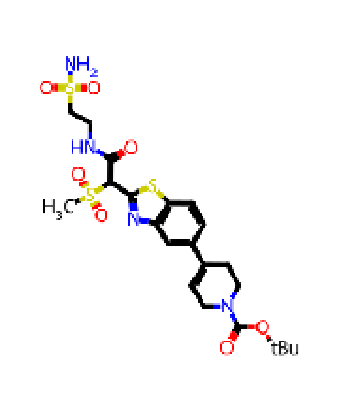 CC(C)(C)OC(=O)N1CC=C(c2ccc3sc(C(C(=O)NCCS(N)(=O)=O)S(C)(=O)=O)nc3c2)CC1